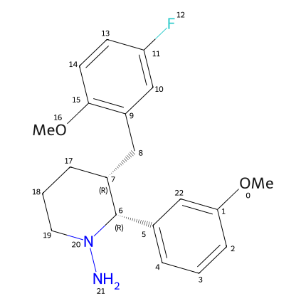 COc1cccc([C@H]2[C@@H](Cc3cc(F)ccc3OC)CCCN2N)c1